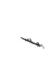 CCCCCCCCCCCCCCCCCCCC(N)=O.Cl